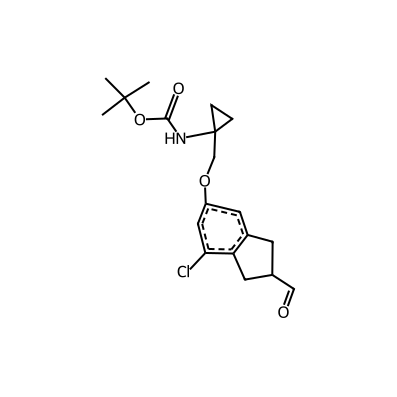 CC(C)(C)OC(=O)NC1(COc2cc(Cl)c3c(c2)CC(C=O)C3)CC1